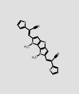 Cn1c(/C=C(\C#N)c2cccs2)cc2sc3cc(/C=C(\C#N)c4cccs4)n(C)c3c21